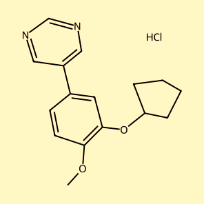 COc1ccc(-c2cncnc2)cc1OC1CCCC1.Cl